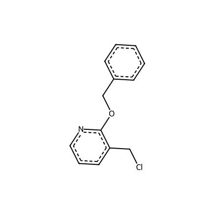 ClCc1cccnc1OCc1ccccc1